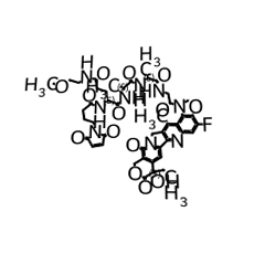 CC[C@@]1(O)C(=O)OCc2c1cc1n(c2=O)Cc2c-1nc1cc(F)c3c(c1c2C)N(C(=O)CNC(=O)[C@H](C)NC(=O)[C@H](C)NC(=O)[C@H](CCC(=O)NCCOC)NC(=O)CCCN1C(=O)C=CC1=O)CO3